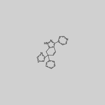 C1=CC(c2ccccc2)(c2cscn2)Cc2[nH]nc(-c3ccncc3)c21